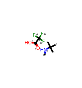 CNC(C)(C)C.O=C(O)C(F)(F)F